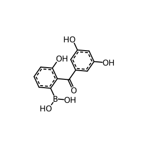 O=C(c1cc(O)cc(O)c1)c1c(O)cccc1B(O)O